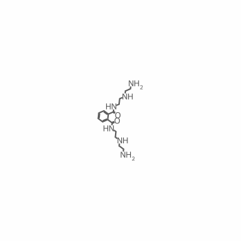 NCCNCCNC(=O)c1ccccc1C(=O)NCCNCCN